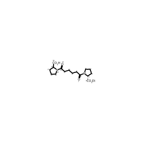 CCOC(=O)[C@H]1CCCN1C(=O)CCCCC(=O)N1CCCC1C(=O)O